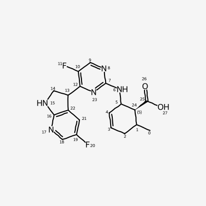 CC1CC=CC(Nc2ncc(F)c(C3CNc4ncc(F)cc43)n2)[C@H]1C(=O)O